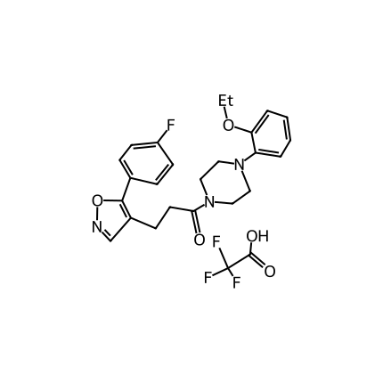 CCOc1ccccc1N1CCN(C(=O)CCc2cnoc2-c2ccc(F)cc2)CC1.O=C(O)C(F)(F)F